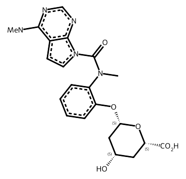 CNc1ncnc2c1ccn2C(=O)N(C)c1ccccc1O[C@H]1C[C@@H](O)C[C@@H](C(=O)O)O1